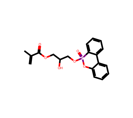 C=C(C)C(=O)OCC(O)COP1(=O)Oc2ccccc2-c2ccccc21